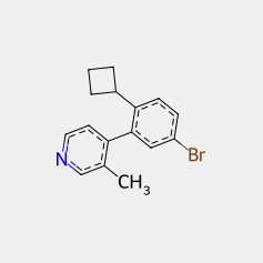 Cc1cnccc1-c1cc(Br)ccc1C1CCC1